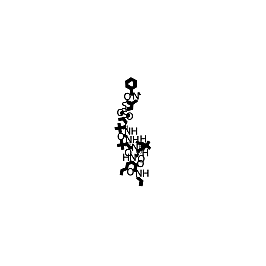 C=CCNC(=O)C(=O)C(CCCC)NC(=O)[C@@H]1[C@@H]2[C@H](CN1C(=O)[C@@H](NC(=O)N[C@H](CC(C)S(=O)(=O)c1cc(CN(C)C(=O)c3ccccc3)cs1)C(C)(C)C)C(C)(C)C)C2(C)C